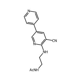 CC(=O)NCCNc1ncc(-c2ccncc2)cc1C#N